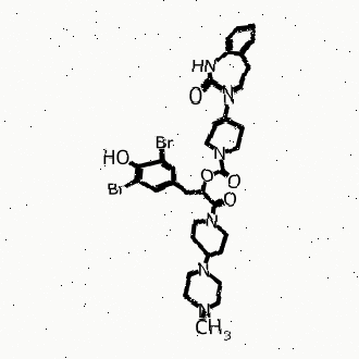 CN1CCN(C2CCN(C(=O)C(Cc3cc(Br)c(O)c(Br)c3)OC(=O)N3CCC(N4CCc5ccccc5NC4=O)CC3)CC2)CC1